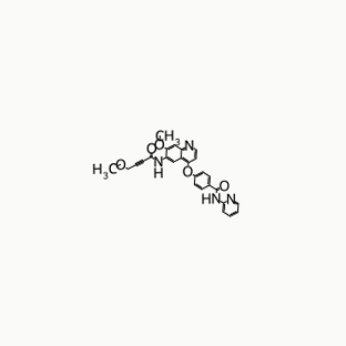 COCC#CC(=O)Nc1cc2c(Oc3ccc(C(=O)Nc4ccccn4)cc3)ccnc2cc1OC